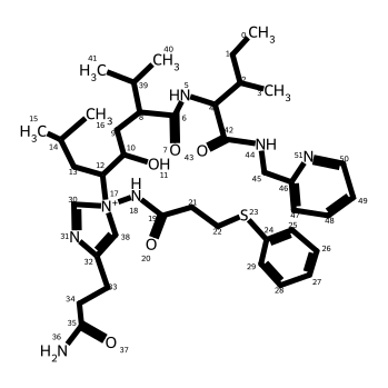 CCC(C)C(NC(=O)C(CC(O)C(CC(C)C)[N+]1(NC(=O)CCSc2ccccc2)C=NC(CCC(N)=O)=C1)C(C)C)C(=O)NCc1ccccn1